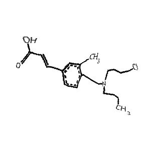 CCCN(CCCl)c1ccc(C=CC(=O)O)cc1C